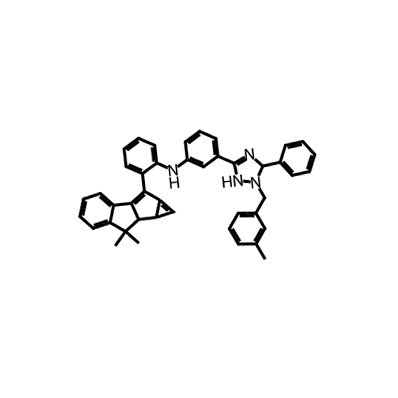 Cc1cccc(CN2NC(c3cccc(Nc4ccccc4C4=C5c6ccccc6C(C)(C)C5C5C=C45)c3)=NC2c2ccccc2)c1